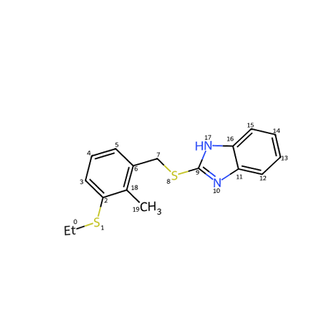 [CH2]CSc1cccc(CSc2nc3ccccc3[nH]2)c1C